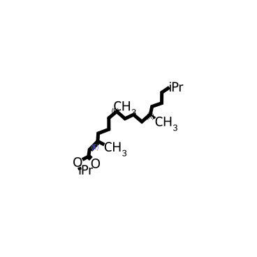 C/C(=C\C(=O)OC(C)C)CCC[C@H](C)CCC[C@H](C)CCCC(C)C